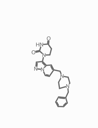 O=C1CCN(c2cnn3ccc(CN4CCN(Cc5ccccc5)CC4)cc23)C(=O)N1